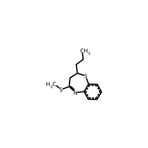 CCCC1CC(SC)=Nc2ccccc2S1